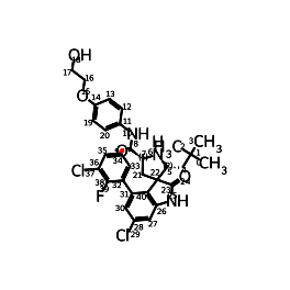 CC(C)(C)C[C@H]1N[C@H](C(=O)Nc2ccc(OCCO)cc2)CC12C(=O)Nc1cc(Cl)cc(-c3cccc(Cl)c3F)c12